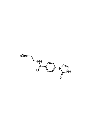 CCCCCCCCCCCCNC(=O)c1ccc(-n2cc[nH]c2=S)cc1